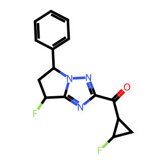 O=C(c1nc2n(n1)C(c1ccccc1)CC2F)C1CC1F